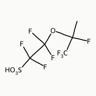 CC(F)(OC(F)(F)C(F)(F)S(=O)(=O)O)C(F)(F)F